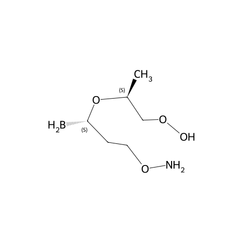 B[C@@H](CCON)O[C@@H](C)COO